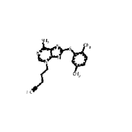 C#CCCCn1cnc(N)c2nc(Sc3cc(C)ccc3C)nc1-2